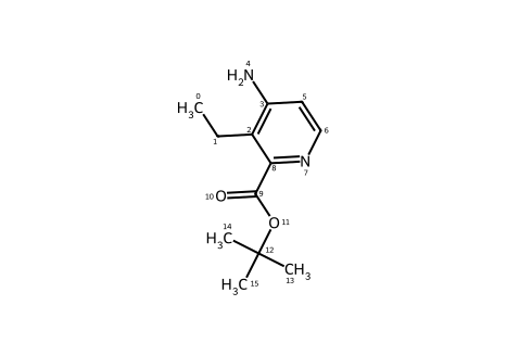 CCc1c(N)ccnc1C(=O)OC(C)(C)C